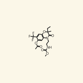 CCC1(C)Oc2cc(C(F)(F)F)c(OC(C)=O)cc2N(CCNC(=O)OC)C1=O